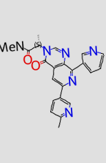 CNC(=O)[C@H](C)n1cnc2c(-c3cccnc3)nc(-c3ccc(C)nc3)cc2c1=O